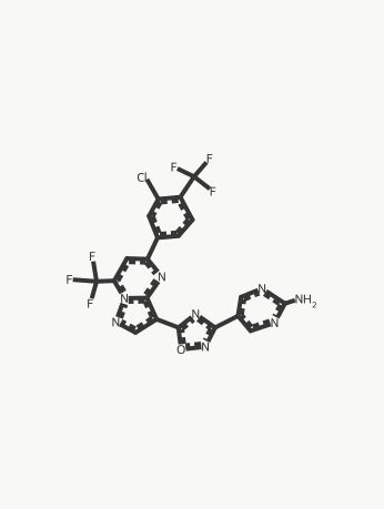 Nc1ncc(-c2noc(-c3cnn4c(C(F)(F)F)cc(-c5ccc(C(F)(F)F)c(Cl)c5)nc34)n2)cn1